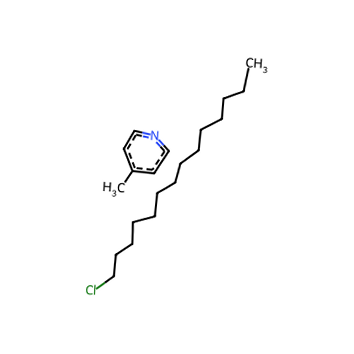 CCCCCCCCCCCCCCCl.Cc1ccncc1